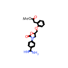 COC(=O)Cc1ccccc1OCC1CN(c2ccc(C(=N)N)cc2)C(=O)O1